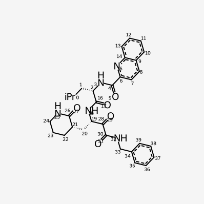 CC(C)C[C@H](NC(=O)c1ccc2ccccc2n1)C(=O)N[C@@H](C[C@@H]1CCCNC1=O)C(=O)C(=O)NCc1ccccc1